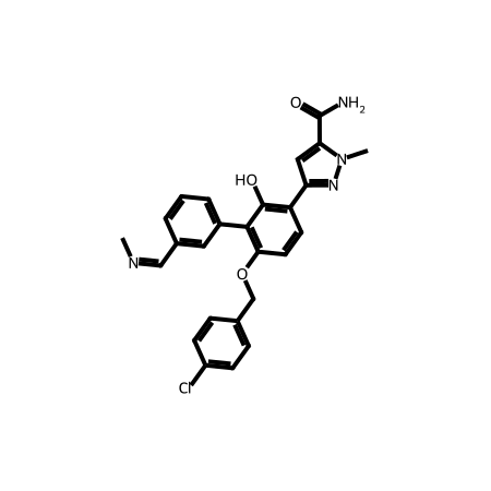 C/N=C\c1cccc(-c2c(OCc3ccc(Cl)cc3)ccc(-c3cc(C(N)=O)n(C)n3)c2O)c1